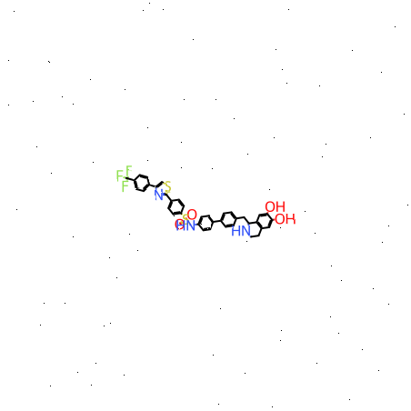 O=S(=O)(Nc1ccc(-c2ccc(CC3NCCc4cc(O)c(O)cc43)cc2)cc1)c1ccc(-c2nc(-c3ccc(C(F)(F)F)cc3)cs2)cc1